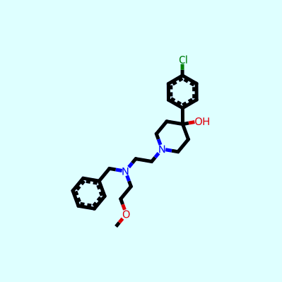 COCCN(CCN1CCC(O)(c2ccc(Cl)cc2)CC1)Cc1ccccc1